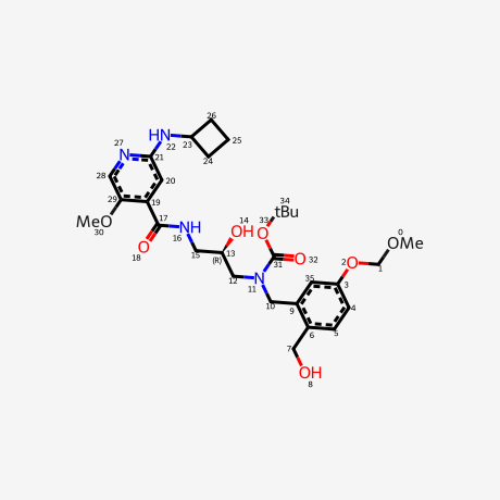 COCOc1ccc(CO)c(CN(C[C@H](O)CNC(=O)c2cc(NC3CCC3)ncc2OC)C(=O)OC(C)(C)C)c1